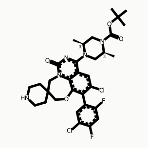 C[C@H]1CN(c2nc(=O)n3c4c(c(-c5cc(Cl)c(F)cc5F)c(Cl)cc24)OCC2(CCNCC2)C3)[C@@H](C)CN1C(=O)OC(C)(C)C